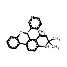 CC1=CC(C)(C)Nc2ccc3c(c21)[C@H](c1cccnc1)Oc1ccccc1-3